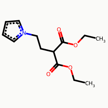 CCOC(=O)C(CCn1cccc1)C(=O)OCC